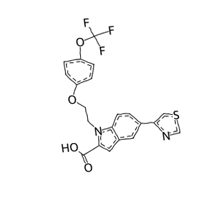 O=C(O)c1cc2cc(-c3cscn3)ccc2n1CCOc1ccc(OC(F)(F)F)cc1